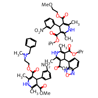 COC(=O)C1=C(C)NC(C)=C(C(=O)OC(C)C)C1c1cccc2nonc12.COC(=O)C1=C(C)NC(C)=C(C(=O)OCCN(C)Cc2ccccc2)C1c1cccc([N+](=O)[O-])c1.COCCOC(=O)C1=C(C)NC(C)=C(C(=O)OC(C)C)C1c1cccc([N+](=O)[O-])c1